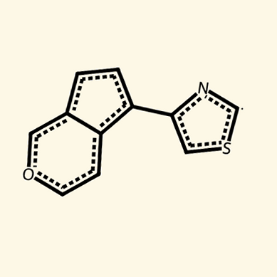 [c]1nc(-c2ccc3coccc2-3)cs1